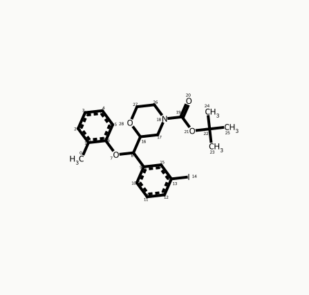 Cc1ccccc1OC(c1cccc(I)c1)C1CN(C(=O)OC(C)(C)C)CCO1